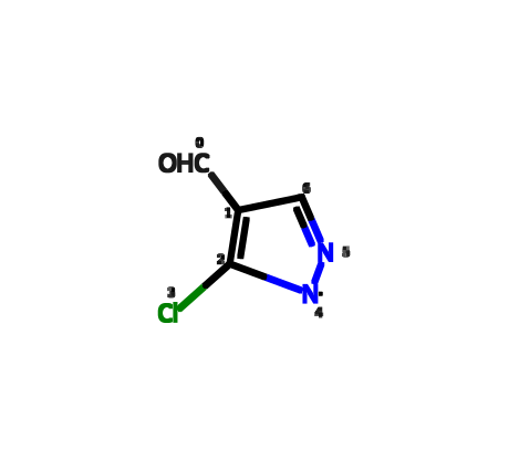 O=CC1=C(Cl)[N]N=C1